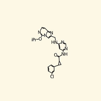 CC(C)Oc1nccc2nc(CNc3cc(NC(=O)C4CC4c4cccc(Cl)c4)ncn3)cn12